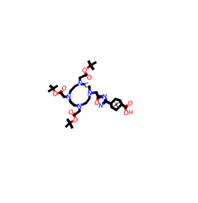 CC(C)(C)OC(=O)CN1CCN(CC(=O)OC(C)(C)C)CCN(Cc2nc(C34CCC(C(=O)O)(CC3)CC4)no2)CCN(CC(=O)OC(C)(C)C)CC1